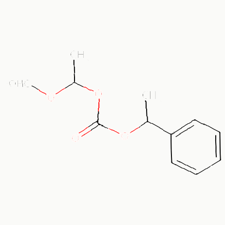 CC(O[C]=O)OC(=O)OC(C)c1ccccc1